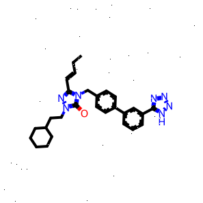 CC/C=C/c1nn(CCC2CCCCC2)c(=O)n1Cc1ccc(-c2cccc(-c3nnn[nH]3)c2)cc1